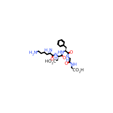 NCCCC[C@H](N)C(=O)N[C@@H](CC(=O)O)C(=O)N[C@@H](Cc1ccccc1)C(=O)NCC(=O)NCC(=O)O